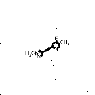 Cc1cnc(C#Cc2cnn(C)c2)cc1F